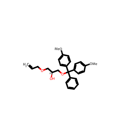 C=CCOC[C@H](O)COC(c1ccccc1)(c1ccc(OC)cc1)c1ccc(OC)cc1